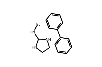 CCNC1NCCN1.c1ccc(-c2ccccc2)cc1